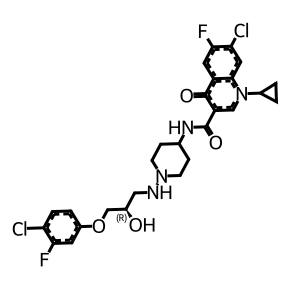 O=C(NC1CCN(NC[C@@H](O)COc2ccc(Cl)c(F)c2)CC1)c1cn(C2CC2)c2cc(Cl)c(F)cc2c1=O